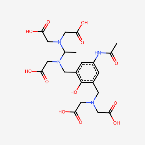 CC(=O)Nc1cc(CN(CC(=O)O)CC(=O)O)c(O)c(CN(CC(=O)O)C(C)N(CC(=O)O)CC(=O)O)c1